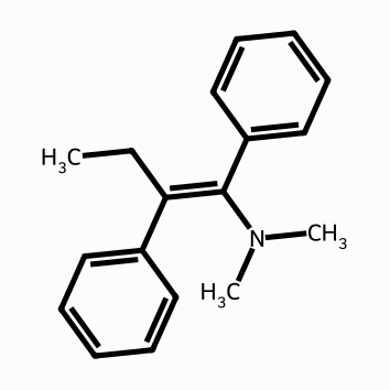 CC/C(=C(\c1ccccc1)N(C)C)c1ccccc1